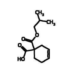 CC(C)COC(=O)C1(C(=O)O)CC=CCC1